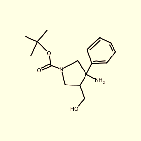 CC(C)(C)OC(=O)N1CC(CO)C(N)(c2ccccc2)C1